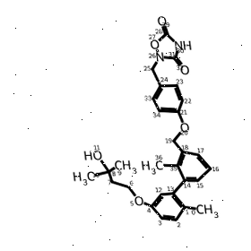 Cc1ccc(OCCC(C)(C)O)cc1-c1cccc(COc2ccc(Cn3oc(=O)[nH]c3=O)cc2)c1C